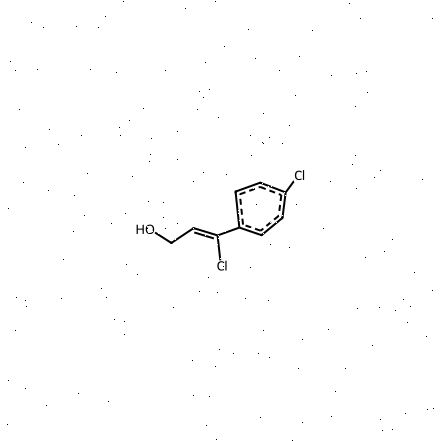 OC/C=C(\Cl)c1ccc(Cl)cc1